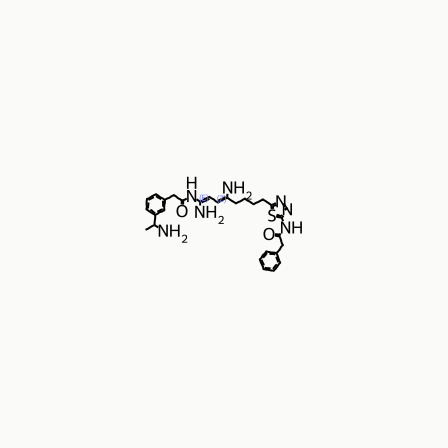 CC(N)c1cccc(CC(=O)N/C(N)=C/C=C(\N)CCCCc2nnc(NC(=O)Cc3ccccc3)s2)c1